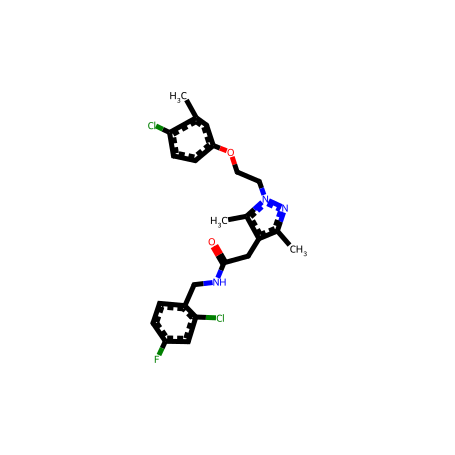 Cc1cc(OCCn2nc(C)c(CC(=O)NCc3ccc(F)cc3Cl)c2C)ccc1Cl